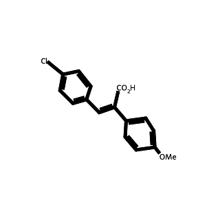 COc1ccc(C(=Cc2ccc(Cl)cc2)C(=O)O)cc1